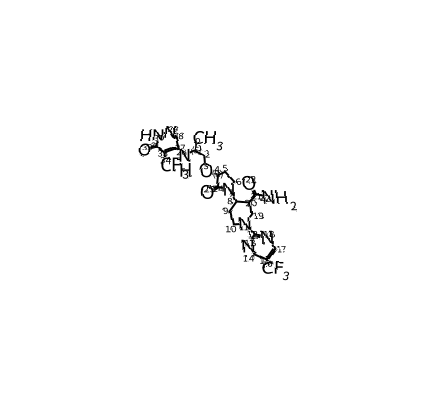 C[C@@H](CO[C@@H]1CCN(C2CCN(c3ncc(C(F)(F)F)cn3)CC2C(N)=O)C1=O)Nc1cn[nH]c(=O)c1C(F)(F)F